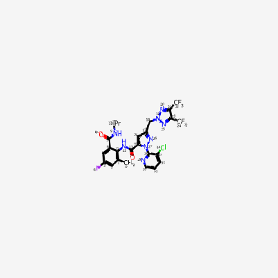 Cc1cc(I)cc(C(=O)NC(C)C)c1NC(=O)c1cc(Cn2nc(C(F)(F)F)c(C(F)(F)F)n2)nn1-c1ncccc1Cl